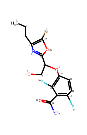 CCCc1nc(C(CO)Oc2ccc(F)c(C(N)=O)c2F)oc1Br